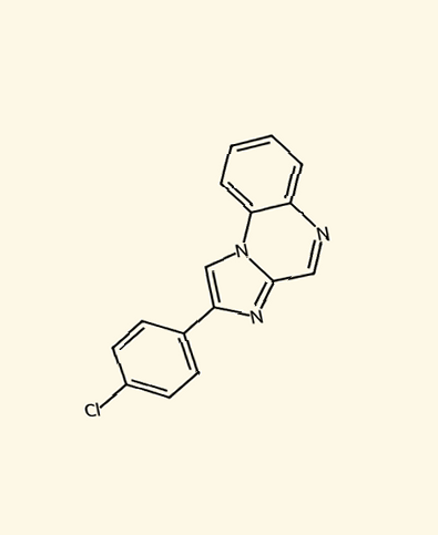 Clc1ccc(-c2cn3c(cnc4ccccc43)n2)cc1